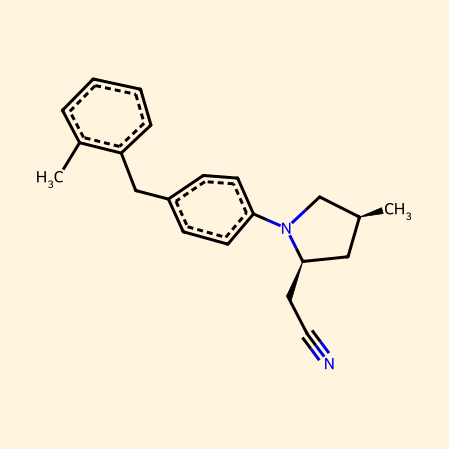 Cc1ccccc1Cc1ccc(N2C[C@@H](C)C[C@H]2CC#N)cc1